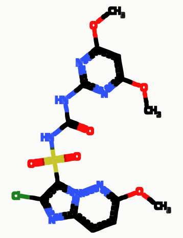 COc1cc(OC)nc(NC(=O)NS(=O)(=O)c2c(Cl)nc3ccc(OC)nn23)n1